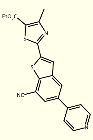 CCOC(=O)c1sc(-c2cc3cc(-c4ccncc4)cc(C#N)c3s2)nc1C